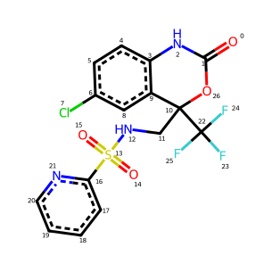 O=C1Nc2ccc(Cl)cc2C(CNS(=O)(=O)c2ccccn2)(C(F)(F)F)O1